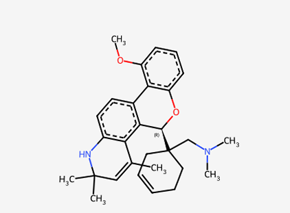 COc1cccc2c1-c1ccc3c(c1[C@H](C1(CN(C)C)CC=CCC1)O2)C(C)=CC(C)(C)N3